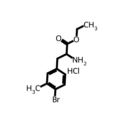 CCOC(=O)C(N)Cc1ccc(Br)c(C)c1.Cl